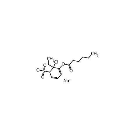 CCCCCC(=O)OC1=CC=CC(S(=O)(=O)[O-])C1(Cl)CC.[Na+]